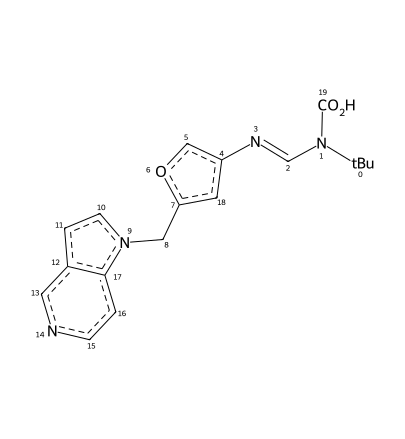 CC(C)(C)N(C=Nc1coc(Cn2ccc3cnccc32)c1)C(=O)O